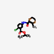 CC1=C(C(=O)Nc2ccc(Cl)c(C(=O)OC(C)C)c2)SCCS1